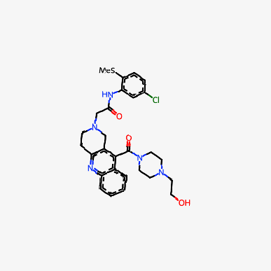 CSc1ccc(Cl)cc1NC(=O)CN1CCc2nc3ccccc3c(C(=O)N3CCN(CCO)CC3)c2C1